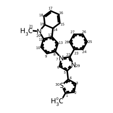 Cc1ccc(-c2cn(-c3ccc4c(c3)C3C=CC=CC3N4C)c(-c3ccccc3)n2)s1